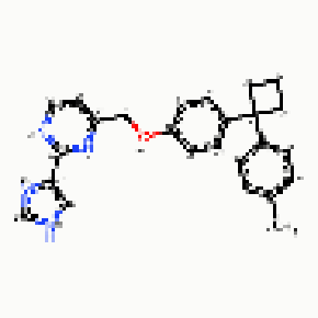 Cc1ccc(C2(c3ccc(OCc4ccnc(-c5c[nH]cn5)n4)cc3)CCC2)cc1